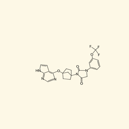 O=C1CN(c2cccc(OC(F)(F)F)c2)C(=O)N1C12CCC(Oc3ncnc4[nH]ccc34)(CC1)C2